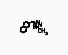 Cc1nnn(Cc2ccc3ccccc3c2)n1